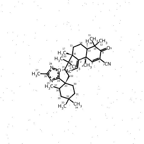 CC(=O)/C=C1/[C@@]2(C)C=C(C#N)C(=O)C(C)(C)[C@@H]2CC[C@@]1(C)C(C)(C)CC[C@@]1(c2nc(C)no2)CCC(C)(C)CC1C